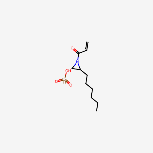 C=CC(=O)N1CC1CCCCCC.O=[SH](=O)O